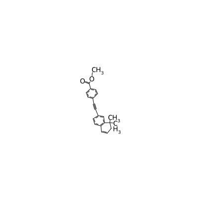 CCOC(=O)c1ccc(C#Cc2ccc3c(c2)C(C)(C)CC=C3)cc1